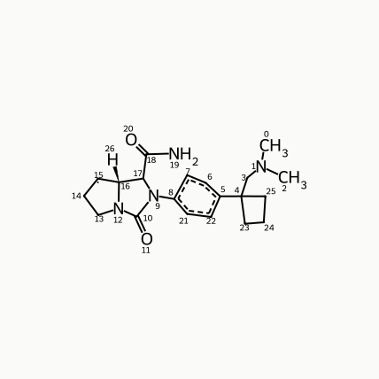 CN(C)CC1(c2ccc(N3C(=O)N4CC[CH][C@@H]4C3C(N)=O)cc2)CCC1